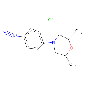 CC1CN(c2ccc([N+]#N)cc2)CC(C)O1.[Cl-]